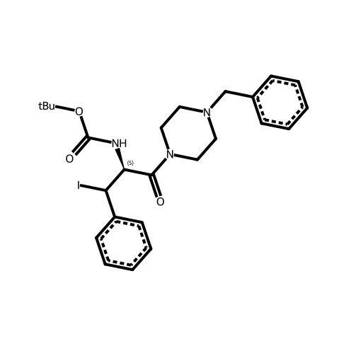 CC(C)(C)OC(=O)N[C@@H](C(=O)N1CCN(Cc2ccccc2)CC1)C(I)c1ccccc1